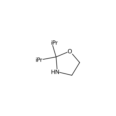 CC(C)C1(C(C)C)NCCO1